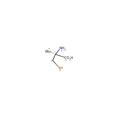 CC(C)(C)[C@@](N)(CS)C(=O)O